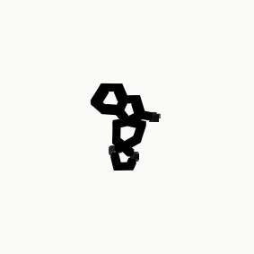 BrC1=Cc2ccccc2C12CCC1(CC2)OCCO1